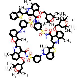 Cc1c(-c2cc(C(=O)NS(=O)(=O)c3cccc(Nc4cccc5oc(-c6cc(C(=O)NS(=O)(=O)c7cccc(Nc8cccc9sc(-c%10cc(C(=O)NS(=O)(=O)c%11ccccc%11)c%11c(OCC%12CC(C)(C)OC(C)(C)C%12)ccc(C)c%11n%10)c(C)c89)c7)c7c(OCC8CC(C)(C)OC(C)(C)C8)ccc(C)c7n6)c(C)c45)c3)c3c(OCC4CC(C)(C)OC(C)(C)C4)ccc(C)c3n2)sc2ccccc12